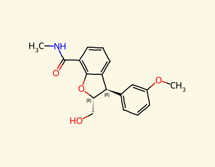 CNC(=O)c1cccc2c1O[C@@H](CO)[C@@H]2c1cccc(OC)c1